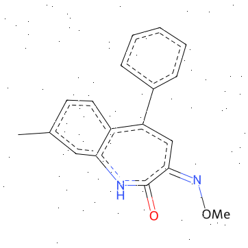 CON=c1cc(-c2ccccc2)c2ccc(C)cc2[nH]c1=O